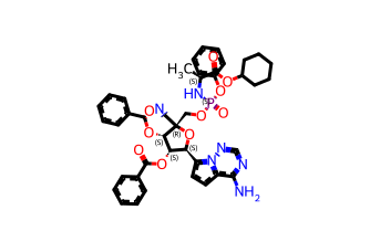 C[C@H](N[P@](=O)(OC[C@@]1(C#N)O[C@@H](c2ccc3c(N)ncnn23)[C@H](OC(=O)c2ccccc2)[C@@H]1OC(=O)c1ccccc1)Oc1ccccc1)C(=O)OC1CCCCC1